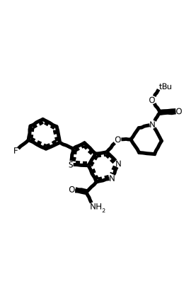 CC(C)(C)OC(=O)N1CCCC(Oc2nnc(C(N)=O)c3sc(-c4cccc(F)c4)cc23)C1